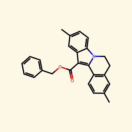 Cc1ccc2c(c1)CCn1c-2c(C(=O)OCc2ccccc2)c2cc(C)ccc21